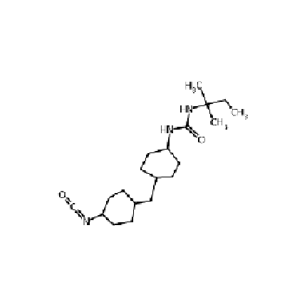 CCC(C)(C)NC(=O)NC1CCC(CC2CCC(N=C=O)CC2)CC1